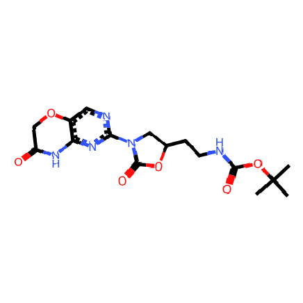 CC(C)(C)OC(=O)NCCC1CN(c2ncc3c(n2)NC(=O)CO3)C(=O)O1